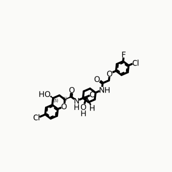 O=C(COc1ccc(Cl)c(F)c1)NC12CCC(NC(=O)[C@@H]3C[C@H](O)c4cc(Cl)ccc4O3)(CC1)[C@@H](O)C2